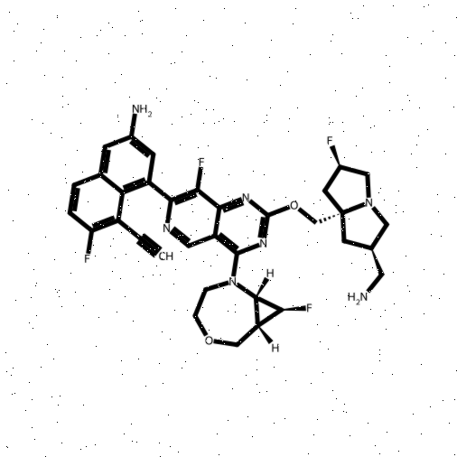 C#Cc1c(F)ccc2cc(N)cc(-c3ncc4c(N5CCOC[C@H]6[C@H](F)[C@H]65)nc(OC[C@]56C[C@@H](F)CN5C[C@@H](CN)C6)nc4c3F)c12